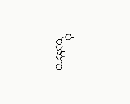 Cc1c(CC2CCC(CC3CCC(C)CC3)CC2)cc2ccc(CC3CCCCC3)c(C)c2c1C